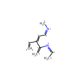 C=C/C(=C/C=N\C)C(=C)/N=C\C